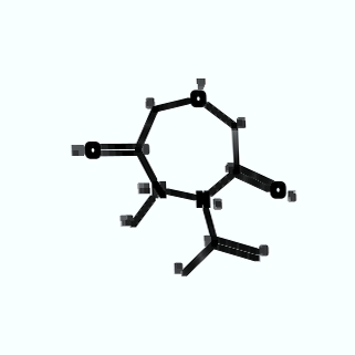 C=C(C)N1C(=O)COCC(=O)N1C